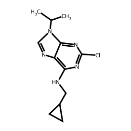 CC(C)n1cnc2c(NCC3CC3)nc(Cl)nc21